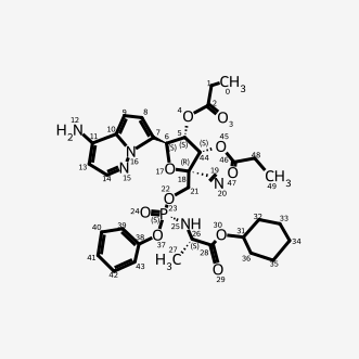 CCC(=O)O[C@H]1[C@H](c2ccc3c(N)ccnn23)O[C@](C#N)(CO[P@@](=O)(N[C@@H](C)C(=O)OC2CCCCC2)Oc2ccccc2)[C@H]1OC(=O)CC